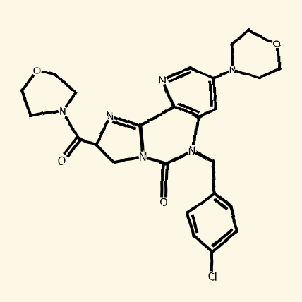 O=C(C1CN2C(=O)N(Cc3ccc(Cl)cc3)c3cc(N4CCOCC4)cnc3C2=N1)N1CCOCC1